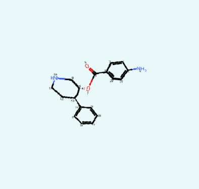 Nc1ccc(C(=O)O[C@H]2CNCC[C@@H]2c2ccccc2)cc1